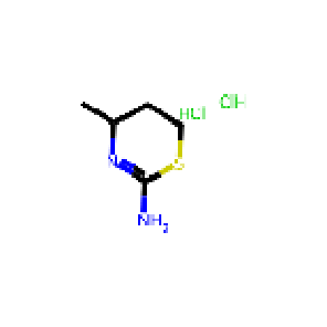 CC1CCSC(N)=N1.Cl.Cl